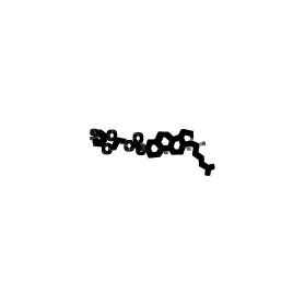 CC(C)CCC[C@@H](C)[C@H]1CCC2C3CC=C4C[C@@H](OC(=O)OCC5COc6cscc6O5)CC[C@]4(C)C3CC[C@@]21C